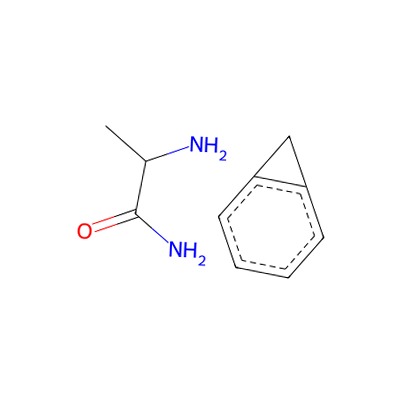 CC(N)C(N)=O.c1ccc2c(c1)C2